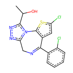 CC(O)c1nnc2n1-c1sc(Cl)cc1C(c1ccccc1Cl)=NC2